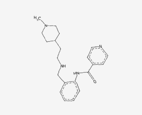 CN1CCC(CCNCc2ccccc2NC(=O)c2ccncc2)CC1